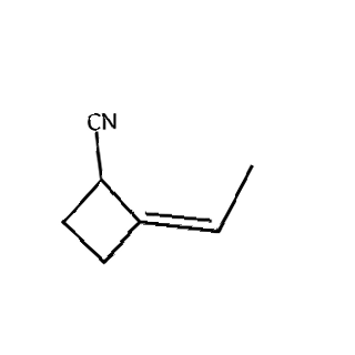 C/C=C1/CCC1C#N